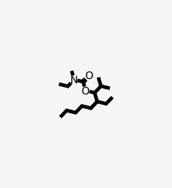 CCCCCC(CC)C(OC(=O)N(C)CC)C(C)C